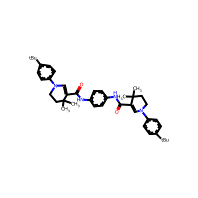 CC1(C)CCN(c2ccc(C(C)(C)C)cc2)C=C1C(=O)Nc1ccc(NC(=O)C2=CN(c3ccc(C(C)(C)C)cc3)CCC2(C)C)cc1